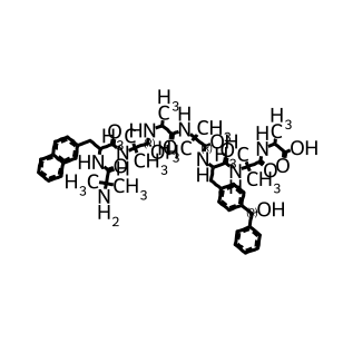 CC(NC(=O)C(C)(C)NC(=O)C(Cc1ccc([C@H](O)c2ccccc2)cc1)N[C@H](O)C(C)(C)NC(=O)C(C)N[C@H](O)C(C)(C)NC(=O)C(Cc1ccc2ccccc2c1)NC(=O)C(C)(C)N)C(=O)O